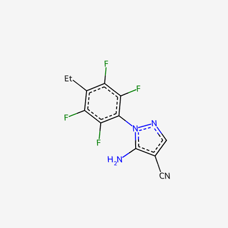 CCc1c(F)c(F)c(-n2ncc(C#N)c2N)c(F)c1F